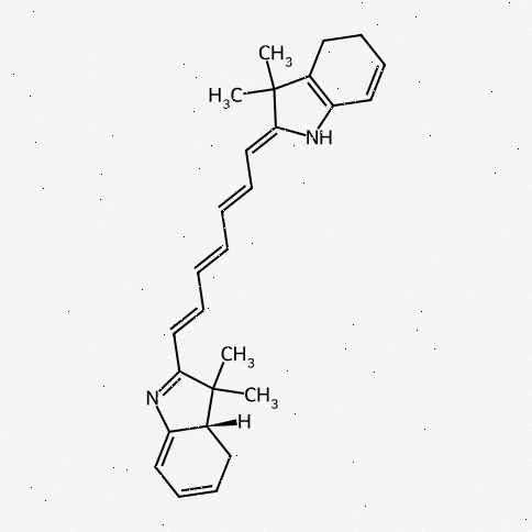 CC1(C)C2=C(C=CCC2)N\C1=C/C=C/C=C/C=C/C1=NC2=CC=CC[C@H]2C1(C)C